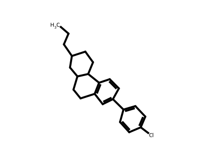 CCCC1CCC2c3ccc(-c4ccc(Cl)cc4)cc3CCC2C1